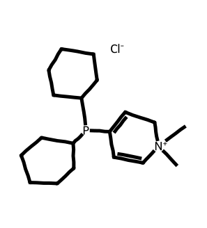 C[N+]1(C)C=CC(P(C2CCCCC2)C2CCCCC2)=CC1.[Cl-]